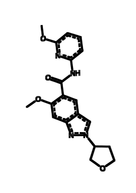 COc1cccc(NC(=O)c2cc3cn(C4CCOC4)nc3cc2OC)n1